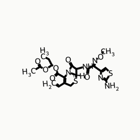 C=CC1=C(C(=O)OC(CC)OC(C)=O)N2C(=O)C(NC(=O)C(=NOC)c3csc(N)n3)[C@@H]2SC1